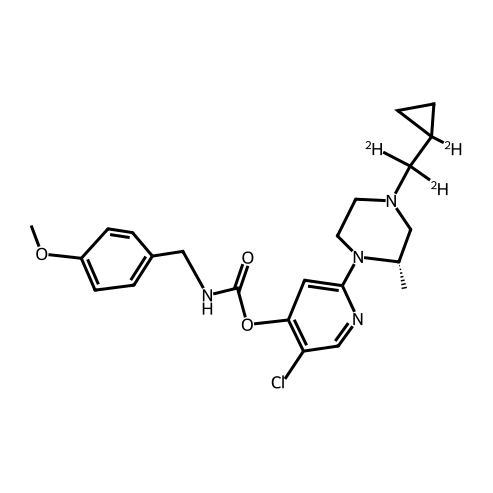 [2H]C1(C([2H])([2H])N2CCN(c3cc(OC(=O)NCc4ccc(OC)cc4)c(Cl)cn3)[C@@H](C)C2)CC1